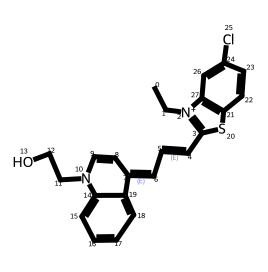 CC[n+]1c(/C=C/C=C2\C=CN(CCO)c3ccccc32)sc2ccc(Cl)cc21